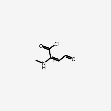 CN/C(=C/C=O)C(=O)Cl